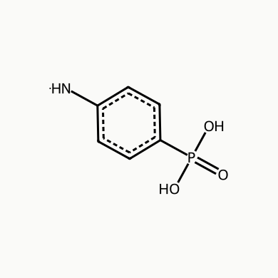 [NH]c1ccc(P(=O)(O)O)cc1